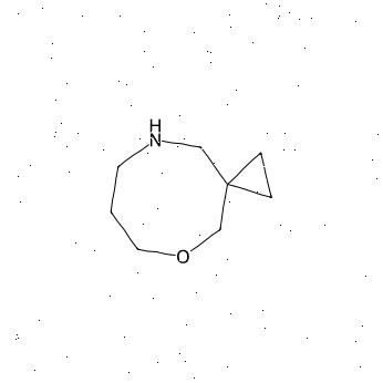 C1CNCC2(CC2)COC1